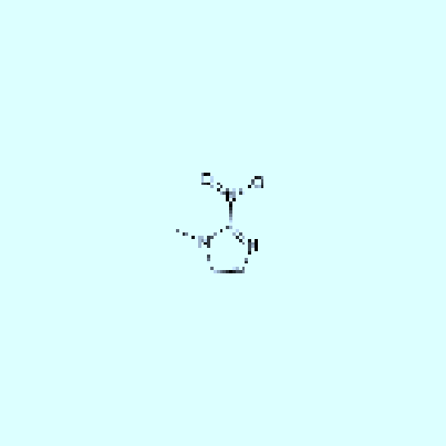 Cn1ccnc1[N+](=O)[O-]